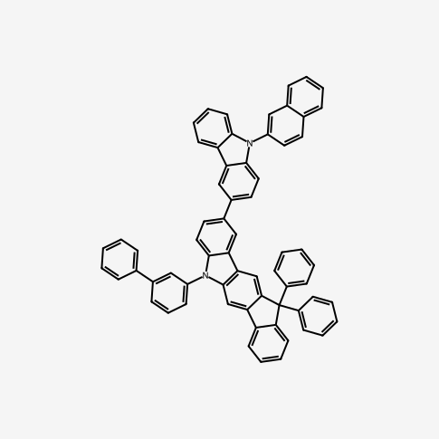 c1ccc(-c2cccc(-n3c4ccc(-c5ccc6c(c5)c5ccccc5n6-c5ccc6ccccc6c5)cc4c4cc5c(cc43)-c3ccccc3C5(c3ccccc3)c3ccccc3)c2)cc1